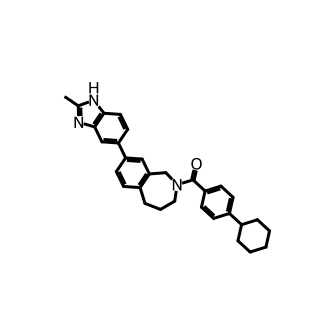 Cc1nc2cc(-c3ccc4c(c3)CN(C(=O)c3ccc(C5CCCCC5)cc3)CCC4)ccc2[nH]1